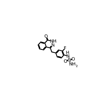 NS(=O)(=O)Nc1ccc(Cc2n[nH]c(=O)c3ccccc23)cc1F